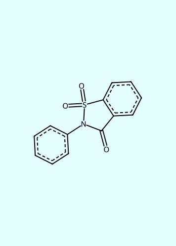 O=C1c2ccccc2S(=O)(=O)N1c1ccccc1